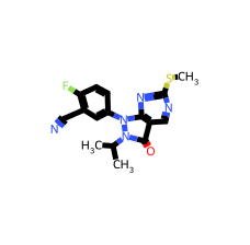 CSc1ncc2c(=O)n(C(C)C)n(-c3ccc(F)c(C#N)c3)c2n1